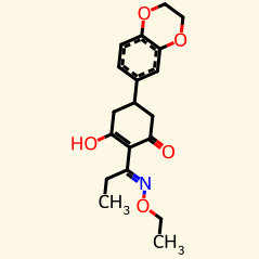 CCON=C(CC)C1=C(O)CC(c2ccc3c(c2)OCCO3)CC1=O